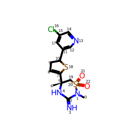 CN1C(=N)N[C@](C)(C2=CCC(c3cncc(Cl)c3)S2)CS1(=O)=O